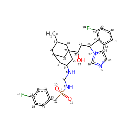 CC1CC2CC(NCNS(=O)(=O)Cc3ccc(F)cc3)CC(C(O)CC3c4c(F)cccc4-c4cncn43)(C1)C2